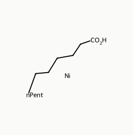 CCCCCCCCCCC(=O)O.[Ni]